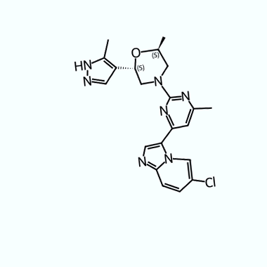 Cc1cc(-c2cnc3ccc(Cl)cn23)nc(N2C[C@H](C)O[C@@H](c3cn[nH]c3C)C2)n1